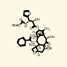 CC(=O)O[C@H]1C(=O)[C@@]2(C)[C@H]([C@H](OC(=O)c3ccccc3)[C@]3(O)C[C@H](OC(=O)[C@H](O)[C@@H](NC(=O)OC(C)(C)C)c4ccco4)C(C)=C1C3(C)C)[C@]1(OC(C)=O)CO[C@@H]1C[C@@H]2O